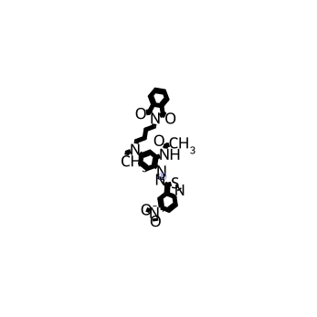 CCN(CCCCN1C(=O)c2ccccc2C1=O)c1ccc(/N=N/c2snc3ccc([N+](=O)[O-])cc23)c(NC(C)=O)c1